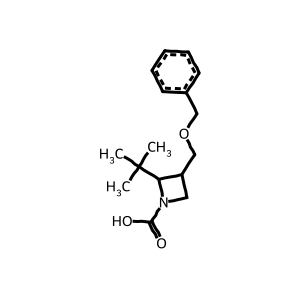 CC(C)(C)C1C(COCc2ccccc2)CN1C(=O)O